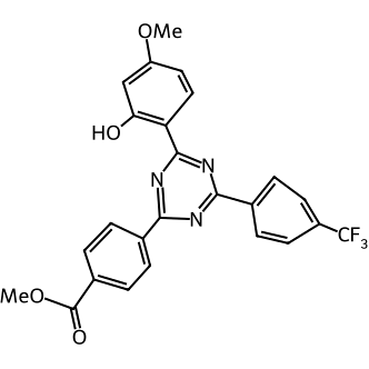 COC(=O)c1ccc(-c2nc(-c3ccc(C(F)(F)F)cc3)nc(-c3ccc(OC)cc3O)n2)cc1